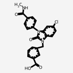 CNC(=O)c1ccc(-n2c(=O)n(Cc3cccc(C(=O)O)c3)c3ccc(Cl)cc32)cc1